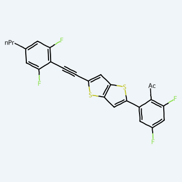 CCCc1cc(F)c(C#Cc2cc3sc(-c4cc(F)cc(F)c4C(C)=O)cc3s2)c(F)c1